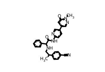 CC(CNC(C(=O)Nc1ccc(-c2cnn(C)c(=O)c2)cn1)c1ccccc1)c1ccc(C#N)cc1